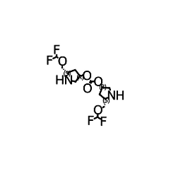 O=C(O[C@H]1CN[C@H](COC(F)F)C1)O[C@H]1CN[C@H](COC(F)F)C1